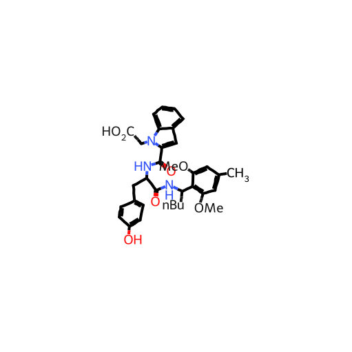 CCCCC(NC(=O)C(Cc1ccc(O)cc1)NC(=O)c1cc2ccccc2n1CC(=O)O)c1c(OC)cc(C)cc1OC